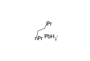 CCCCCC(C)C.[PbH2]